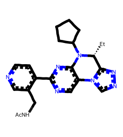 CC[C@@H]1c2nncn2-c2cnc(-c3ccncc3CNC(C)=O)nc2N1C1CCCC1